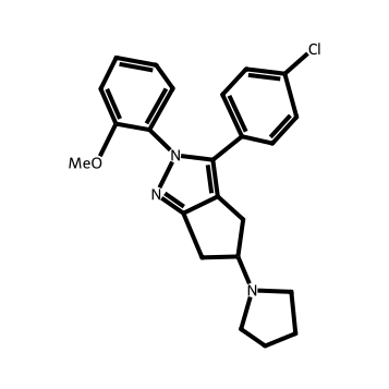 COc1ccccc1-n1nc2c(c1-c1ccc(Cl)cc1)CC(N1CCCC1)C2